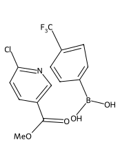 COC(=O)c1ccc(Cl)nc1.OB(O)c1ccc(C(F)(F)F)cc1